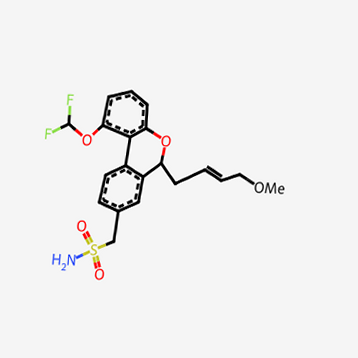 COCC=CCC1Oc2cccc(OC(F)F)c2-c2ccc(CS(N)(=O)=O)cc21